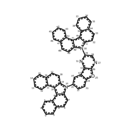 c1ccc2c(c1)ccc1c2c2c3ccccc3ccc2n1-c1ccc2oc3ncc(-n4c5ccc6ccccc6c5c5c6ccccc6ccc54)nc3c2c1